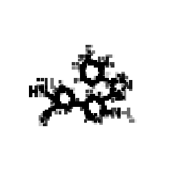 CNc1ccc(-c2cnc(N)c(-c3nnnn3-c3cccc(F)c3F)c2)cc1C#N